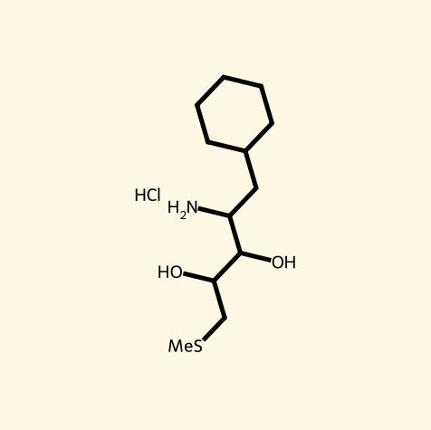 CSCC(O)C(O)C(N)CC1CCCCC1.Cl